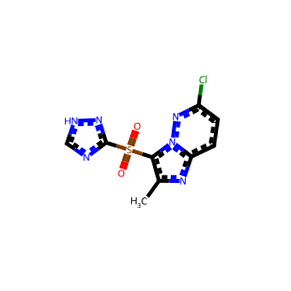 Cc1nc2ccc(Cl)nn2c1S(=O)(=O)c1nc[nH]n1